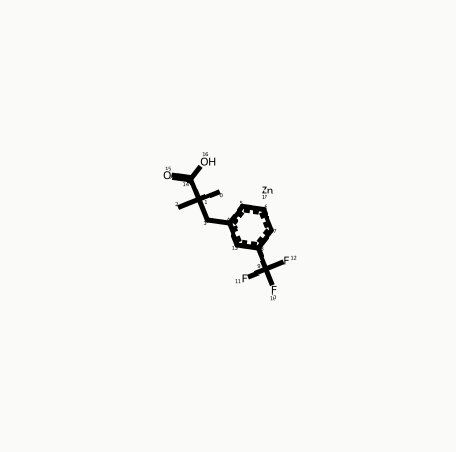 CC(C)(Cc1cccc(C(F)(F)F)c1)C(=O)O.[Zn]